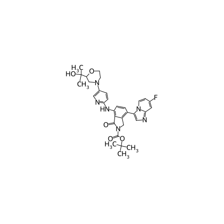 CC(C)(C)OC(=O)N1Cc2c(-c3cnc4cc(F)ccn34)ccc(Nc3ccc(N4CCOC(C(C)(C)O)C4)cn3)c2C1=O